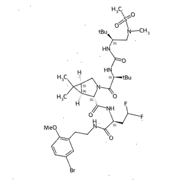 COc1ccc(Br)cc1CCNC(=O)[C@H](CC(F)F)NC(=O)[C@@H]1[C@@H]2[C@H](CN1C(=O)[C@@H](NC(=O)N[C@H](CN(C)S(C)(=O)=O)C(C)(C)C)C(C)(C)C)C2(C)C